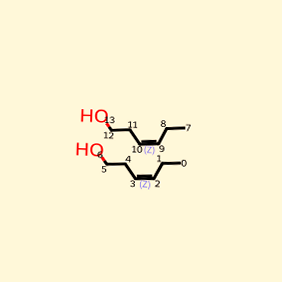 CC/C=C\CCO.CC/C=C\CCO